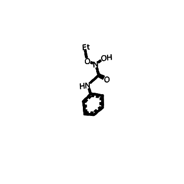 CCON(O)C(=O)Nc1ccccc1